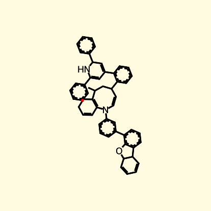 CC1CC(c2ccccc2C2=CC(c3ccccc3)NC(c3ccccc3)=C2)/C=C\N(c2cccc(-c3cccc4c3OC3C=CC=CC43)c2)C2=C1CCC=C2